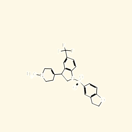 CN1CC=C(C2CN(S(=O)(=O)c3ccc4c(c3)CCO4)c3ccc(C(F)(F)F)cc32)CC1